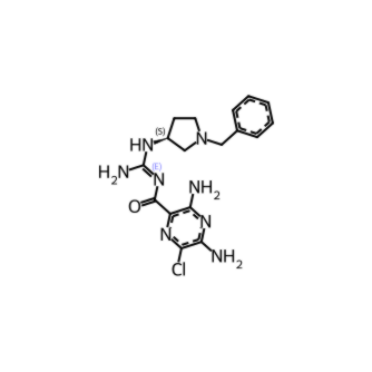 N/C(=N\C(=O)c1nc(Cl)c(N)nc1N)N[C@H]1CCN(Cc2ccccc2)C1